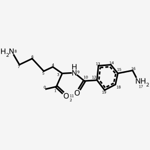 CC(=O)C(CCCCN)NC(=O)c1ccc(CN)cc1